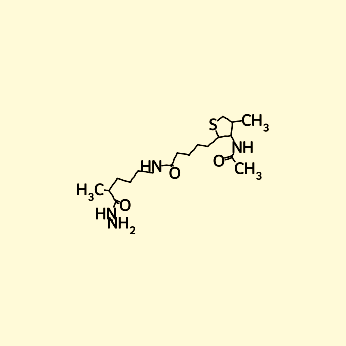 CC(=O)NC1C(C)CSC1CCCCC(=O)NCCCCC(C)C(=O)NN